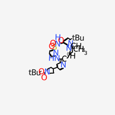 CC(C)(C)OC(=O)N1CCC(c2ccnc([C@@H]3CC[C@@H]4CN(c5nc(C(C)(C)C)ccc5C(=O)NS(=O)(=O)c5cccc(n5)N3)C(C)(C)C4)c2)CC1